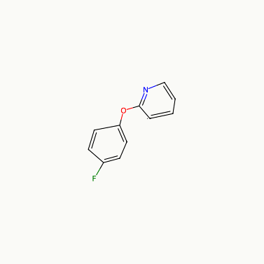 Fc1ccc(Oc2[c]cccn2)cc1